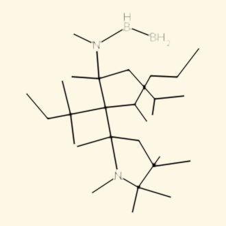 BBN(C)C(C)(CC(C)C)C(C(C)CCC)(C(C)(C)CC)C(C)(CCC)N(C)C(C)(C)C